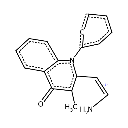 Cc1c(/C=C\N)n(-c2ccccc2)c2ccccc2c1=O